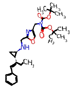 CC/C(=C\c1ccccc1)[C@@H]1C[C@H]1NCc1nc(CN(C(=O)OC(C)(C)C)C(=O)OC(C)(C)C)co1